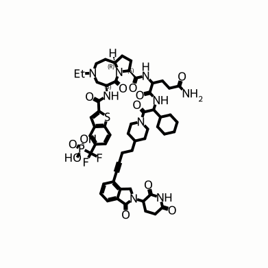 CCN1CC[C@H]2CC[C@@H](C(=O)NC(CCC(N)=O)C(=O)NC(C(=O)N3CCC(CCC#Cc4cccc5c4CN(C4CCC(=O)NC4=O)C5=O)CC3)C3CCCCC3)N2C(=O)[C@@H](NC(=O)c2cc3cc(C(F)(F)P(=O)(O)O)ccc3s2)C1